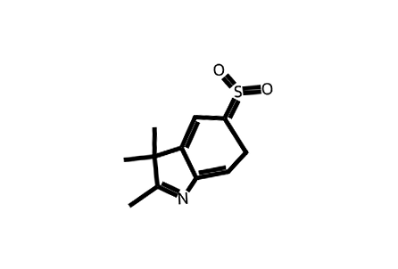 CC1=NC2=CCC(=S(=O)=O)C=C2C1(C)C